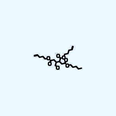 C=CCCCOC(=O)CC(C=O)C(CC(=O)OCCCCC)C(=O)OCCCC=C